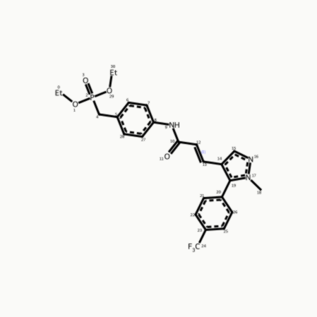 CCOP(=O)(Cc1ccc(NC(=O)/C=C/c2cnn(C)c2-c2ccc(C(F)(F)F)cc2)cc1)OCC